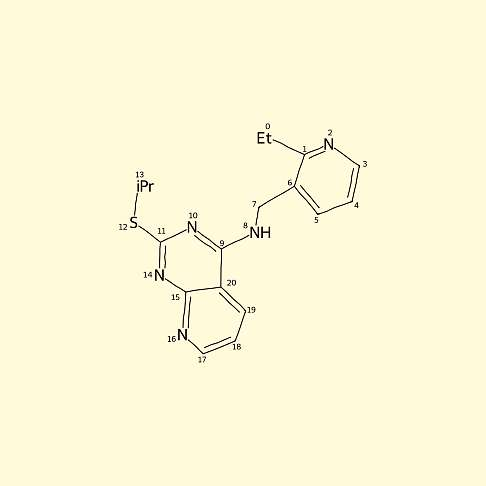 CCc1ncccc1CNc1nc(SC(C)C)nc2ncccc12